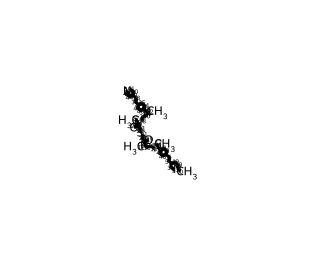 CN1C=CC(/C=C/c2ccc(N(C)CCCN(C)C(=O)CSSCC(=O)N(C)CCCN(C)c3ccc(/C=C/c4ccncc4)cc3)cc2)=CC1